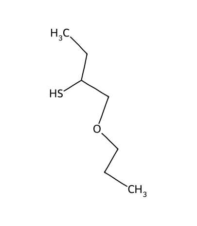 CCCOCC(S)CC